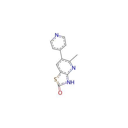 Cc1nc2[nH]c(=O)sc2cc1-c1ccncc1